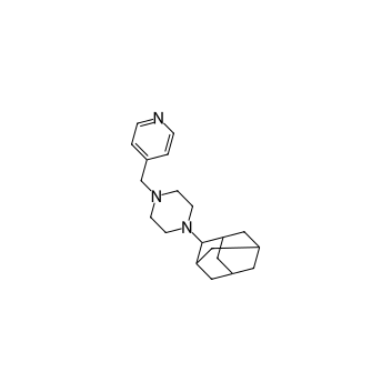 c1cc(CN2CCN(C3C4CC5CC(C4)CC3C5)CC2)ccn1